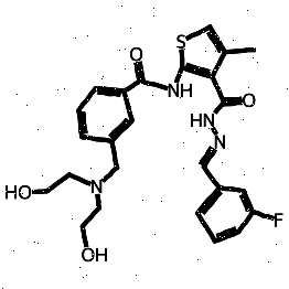 Cc1csc(NC(=O)c2cccc(CN(CCO)CCO)c2)c1C(=O)NN=Cc1cccc(F)c1